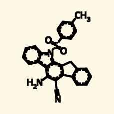 Cc1ccc(S(=O)(=O)n2c3ccccc3c3c(N)c(C#N)c4c(c32)Cc2ccccc2-4)cc1